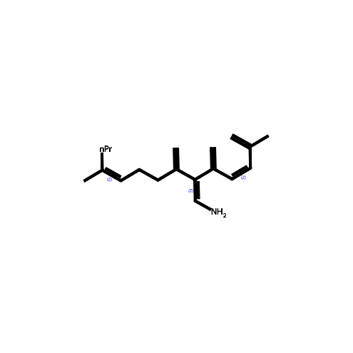 C=C(C)/C=C\C(=C)/C(=C\N)C(=C)CC/C=C(/C)CCC